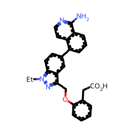 CCn1nc(COc2ccccc2CC(=O)O)c2cc(-c3cccc4c(N)nccc34)ccc21